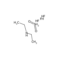 CCNCC.F.F.F.O=[SH2]=O